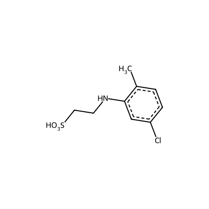 Cc1ccc(Cl)cc1NCCS(=O)(=O)O